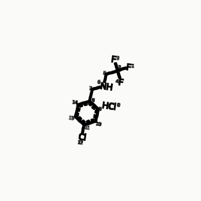 Cl.FC(F)(F)CNCc1ccc(Cl)cc1